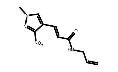 C=CCNC(=O)C=Cc1cn(C)nc1[N+](=O)[O-]